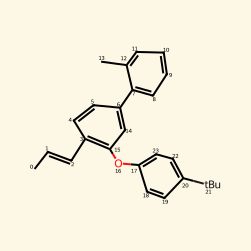 C/C=C/c1ccc(-c2ccccc2C)cc1Oc1ccc(C(C)(C)C)cc1